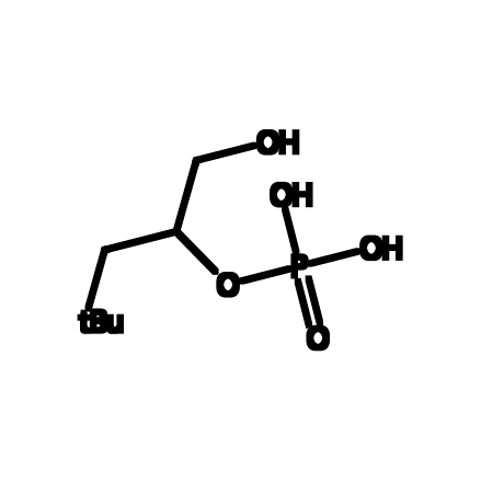 CC(C)(C)CC(CO)OP(=O)(O)O